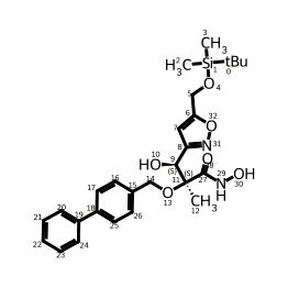 CC(C)(C)[Si](C)(C)OCc1cc([C@H](O)[C@](C)(OCc2ccc(-c3ccccc3)cc2)C(=O)NO)no1